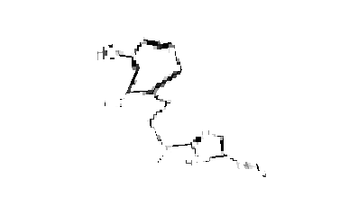 CN(CCc1cccc(O)c1O)c1ncc(N)[nH]1